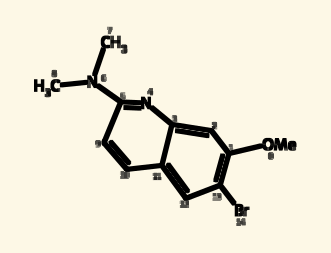 COc1cc2nc(N(C)C)ccc2cc1Br